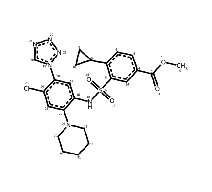 COC(=O)c1ccc(C2CC2)c(S(=O)(=O)Nc2cc(-n3cnnn3)c(Cl)cc2N2CCCCC2)c1